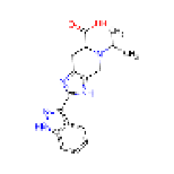 CC(C)N1Cc2[nH]c(-c3n[nH]c4ccccc34)nc2CC1C(=O)O